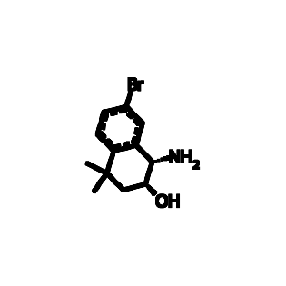 CC1(C)C[C@H](O)[C@@H](N)c2cc(Br)ccc21